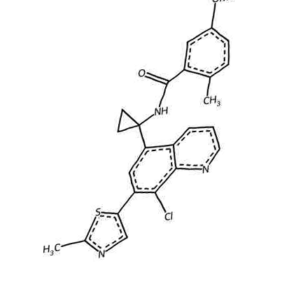 COc1ccc(C)c(C(=O)NC2(c3cc(-c4cnc(C)s4)c(Cl)c4ncccc34)CC2)c1